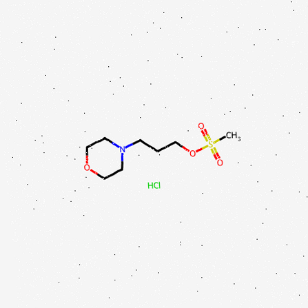 CS(=O)(=O)OCCCN1CCOCC1.Cl